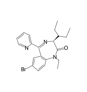 CCC(CC)[C@@H]1N=C(c2ccccn2)c2cc(Br)ccc2N(CC)C1=O